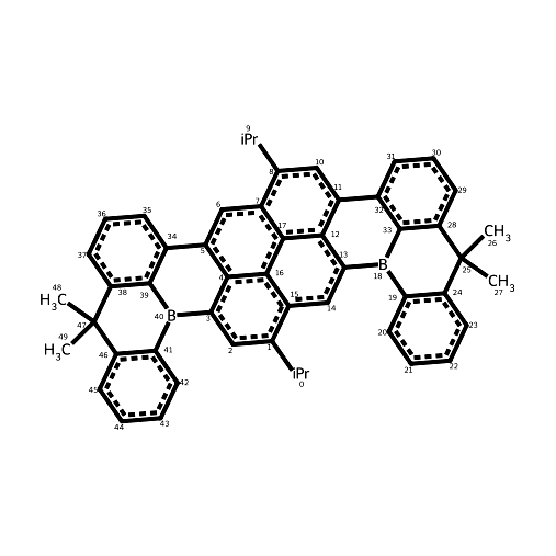 CC(C)c1cc2c3c(cc4c(C(C)C)cc5c6c(cc1c3c46)B1c3ccccc3C(C)(C)c3cccc-5c31)-c1cccc3c1B2c1ccccc1C3(C)C